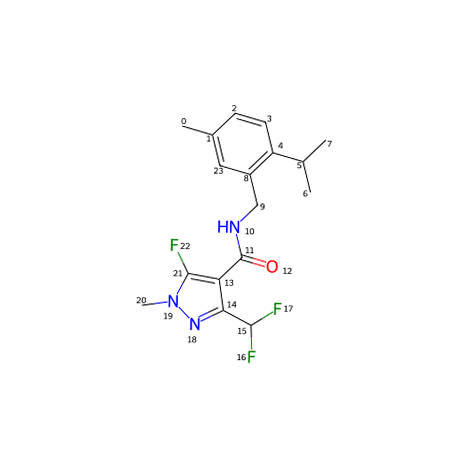 Cc1ccc(C(C)C)c(CNC(=O)c2c(C(F)F)nn(C)c2F)c1